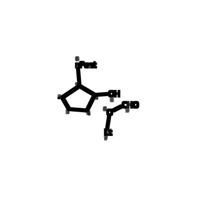 CCCCCC1CCCC1O.CCOC=O